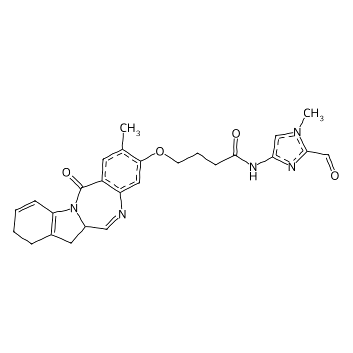 Cc1cc2c(cc1OCCCC(=O)Nc1cn(C)c(C=O)n1)N=CC1CC3=C(C=CCC3)N1C2=O